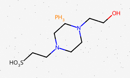 O=S(=O)(O)CCN1CCN(CCO)CC1.P